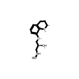 CC(C)(C)NC[C@H](O)COc1cccc2c1SCCC2